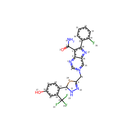 NC(=O)c1c2ncn(CC3=NNC(c4ccc(O)cc4C(F)(F)F)S3)cc-2nc1-c1ccccc1F